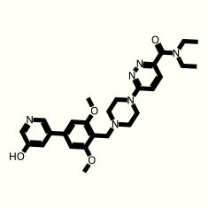 CCN(CC)C(=O)c1ccc(N2CCN(Cc3c(OC)cc(-c4cncc(O)c4)cc3OC)CC2)nn1